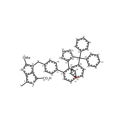 COc1nc2c(C)sc(C(=O)O)c2n1Cc1ccc(-c2ccccc2-c2nnnn2C(c2ccccc2)(c2ccccc2)c2ccccc2)cc1